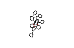 c1ccc(-c2ccc(-c3nc(-c4ccccc4)nc(-c4cccc5c4C4(c6ccccc6-c6cc7c8ccccc8c8ccccc8c7cc64)c4ccccc4-5)n3)cc2)cc1